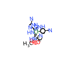 COC(=O)N[C@@H]1CN(c2cc(C#N)cc(Nc3nc(NC4CC4)c4ncc(C#N)n4n3)c2Cl)CC[C@H]1O